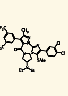 CCN(CC)C1CCN(C(=O)c2c(-c3cc(C(F)(F)F)cc(C(F)(F)F)c3)c(C)nn2-c2nc(-c3ccc(Cl)c(Cl)c3)c(SC)s2)C1